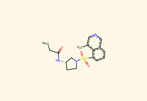 COCC(=O)N[C@H]1CCN(S(=O)(=O)c2cccc3cncc(C)c23)C1